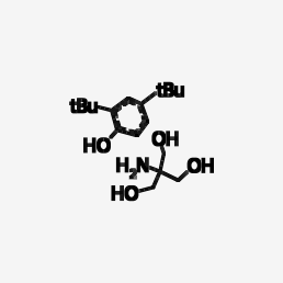 CC(C)(C)c1ccc(O)c(C(C)(C)C)c1.NC(CO)(CO)CO